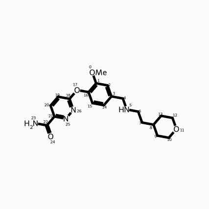 COc1cc(CNCCC2CCOCC2)ccc1Oc1ccc(C(N)=O)nn1